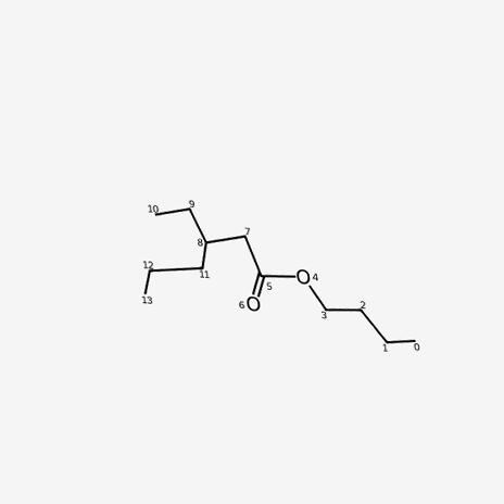 CCCCOC(=O)CC(CC)CCC